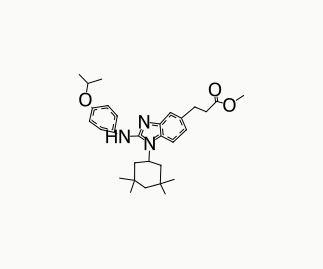 COC(=O)CCc1ccc2c(c1)nc(Nc1ccc(OC(C)C)cc1)n2C1CC(C)(C)CC(C)(C)C1